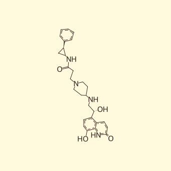 O=C(CCN1CCC(NC[C@H](O)c2ccc(O)c3[nH]c(=O)ccc23)CC1)NC1C[C@H]1c1ccccc1